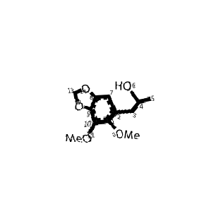 COc1c(CC(C)O)cc2c(c1OC)OCO2